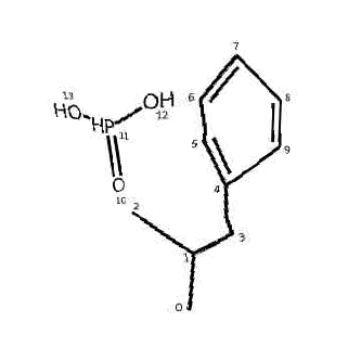 CC(C)Cc1ccccc1.O=[PH](O)O